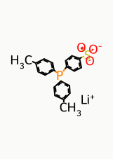 Cc1ccc(P(c2ccc(C)cc2)c2ccc(S(=O)(=O)[O-])cc2)cc1.[Li+]